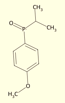 COc1ccc([P](=O)C(C)C)cc1